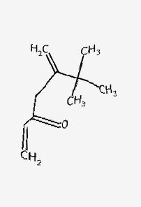 C=CC(=O)CC(=C)C(C)(C)C